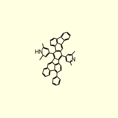 CC1=CC(c2c3c(cc4c5ccccc5c5cccc3c54)c(-c3cc(C)nc(C)c3)c3c4ccc(-c5ccccc5)c5c6ccccc6cc(c23)c45)=CC(C)N1